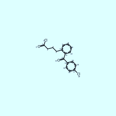 O=C(Cl)CCCc1ccccc1C(=O)c1ccc(Cl)cc1